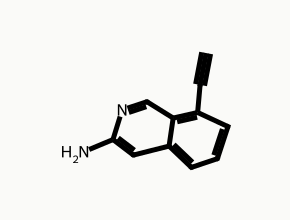 C#Cc1cccc2cc(N)ncc12